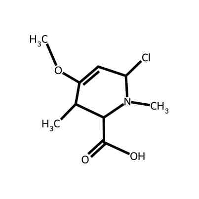 COC1=CC(Cl)N(C)C(C(=O)O)C1C